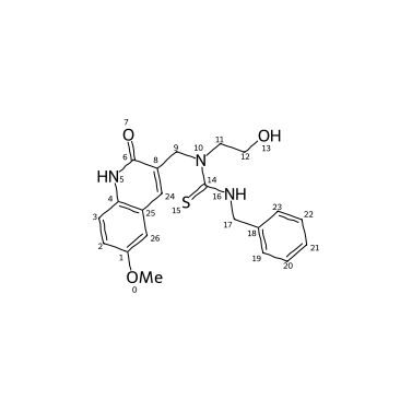 COc1ccc2[nH]c(=O)c(CN(CCO)C(=S)NCc3ccccc3)cc2c1